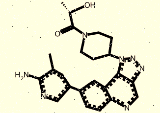 Cc1cc(-c2ccc3ncc4nnn(C5CCN(C(=O)[C@H](C)O)CC5)c4c3c2)cnc1N